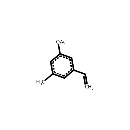 C=Cc1cc(C)cc(OC(C)=O)c1